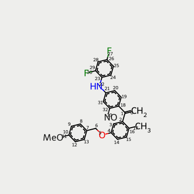 C=C(c1cc(OCc2ccc(OC)cc2)ccc1C)c1ccc(Nc2ccc(F)cc2F)cc1N=O